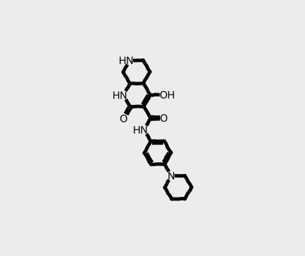 O=C(Nc1ccc(N2CCCCC2)cc1)C1=C(O)C2CCNCC2NC1=O